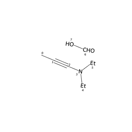 CC#CN(CC)CC.O=CO